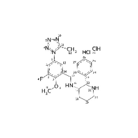 COc1c(F)cc(-n2nnnc2C)cc1CN[C@H]1CCCN[C@H]1c1ccccc1.Cl.Cl